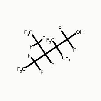 OC(F)(F)C(C(F)(F)F)(C(F)(F)F)C(F)(C(F)(F)C(F)(F)F)C(F)(F)C(F)(F)F